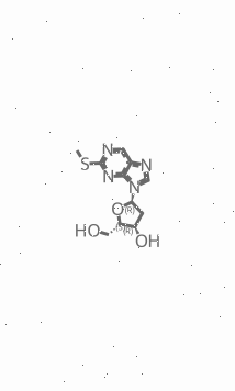 CSc1ncc2ncn([C@H]3C[C@@H](O)[C@H](CO)O3)c2n1